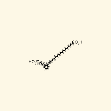 O=C(O)CCCCCCCCCCCCCCCCCCCOc1ccccc1SCCCC(=O)O